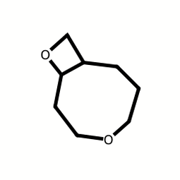 C1COCCC2OCC2C1